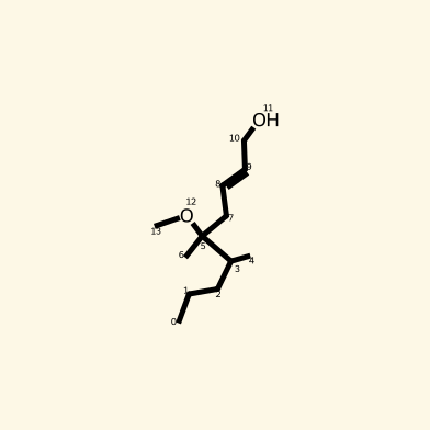 CCCC(C)C(C)(CC=CCO)OC